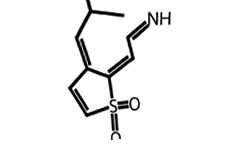 CC(C)/C=C1/C=CS(=O)(=O)/C1=C/C=N